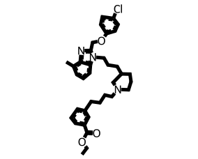 CCOC(=O)c1cccc(CCCCN2CCCC(CCCn3c(COc4ccc(Cl)cc4)nc4c(C)cccc43)C2)c1